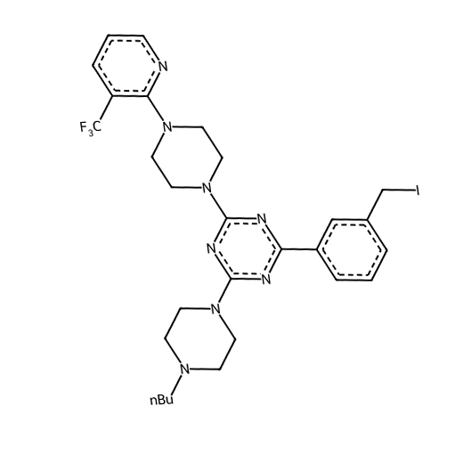 CCCCN1CCN(c2nc(-c3cccc(CI)c3)nc(N3CCN(c4ncccc4C(F)(F)F)CC3)n2)CC1